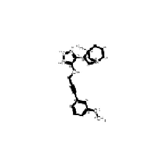 COc1cccc(C#CCOc2nsnc2[C@@H]2CN3CCC[C@H]2C3)c1